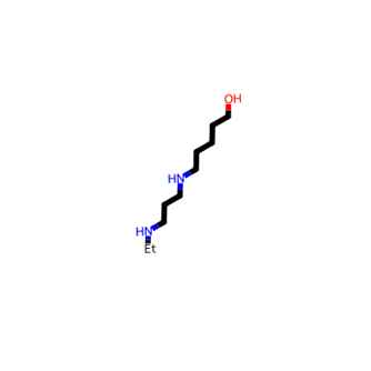 CCNCCCNCCCCCO